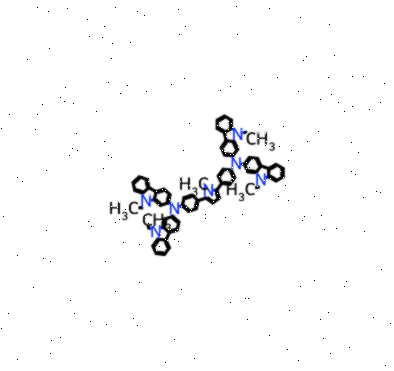 CCn1c2ccccc2c2ccc(N(c3ccc(-c4ccc(-c5ccc(N(c6ccc7c8ccccc8n(CC)c7c6)c6ccc7c8ccccc8n(CC)c7c6)cc5)n4C)cc3)c3ccc4c5ccccc5n(CC)c4c3)cc21